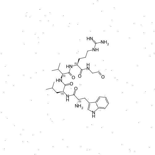 CC(C)C[C@H](NC(=O)[C@@H](N)Cc1c[nH]c2ccccc12)C(=O)N[C@H](C(=O)N[C@@H](CCCNC(=N)N)C(=O)NC[C]=O)C(C)C